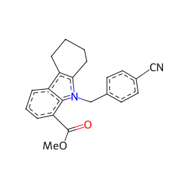 COC(=O)c1cccc2c3c(n(Cc4ccc(C#N)cc4)c12)CCCC3